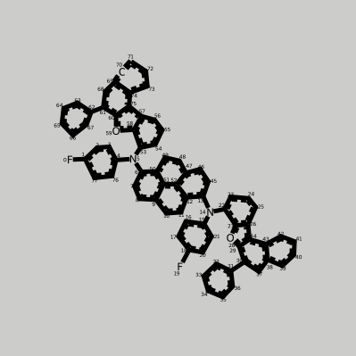 Fc1ccc(N(c2ccc3ccc4c(N(c5ccc(F)cc5)c5cccc6c5oc5c(-c7ccccc7)cc7ccccc7c56)ccc5ccc2c3c54)c2cccc3c2oc2c(-c4ccccc4)cc4ccccc4c23)cc1